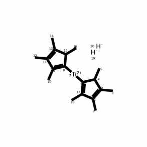 CC1=C(C)C(C)[C]([Ti+2][C]2=C(C)C(C)=C(C)C2C)=C1C.[H-].[H-]